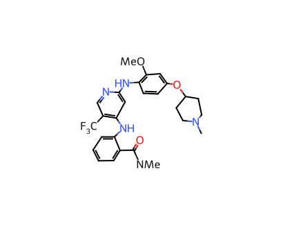 CNC(=O)c1ccccc1Nc1cc(Nc2ccc(OC3CCN(C)CC3)cc2OC)ncc1C(F)(F)F